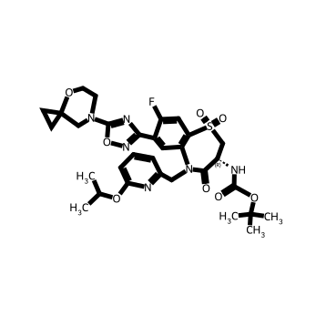 CC(C)Oc1cccc(CN2C(=O)[C@@H](NC(=O)OC(C)(C)C)CS(=O)(=O)c3cc(F)c(-c4noc(N5CCOC6(CC6)C5)n4)cc32)n1